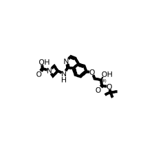 CC(C)(C)OC(=O)[C@H](O)COc1ccc2c(NC3CN(C(=O)O)C3)nccc2c1